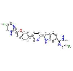 FC1CN=C(c2ccc3cc(-c4ccc(-c5ccc6cc(C7=NCC(F)CN7)oc6c5)cn4)[nH]c3c2)NC1